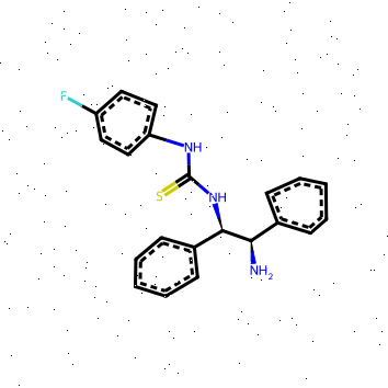 N[C@H](c1ccccc1)[C@H](NC(=S)Nc1ccc(F)cc1)c1ccccc1